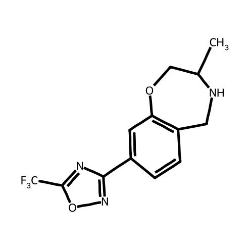 CC1COc2cc(-c3noc(C(F)(F)F)n3)ccc2CN1